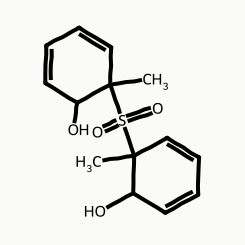 CC1(S(=O)(=O)C2(C)C=CC=CC2O)C=CC=CC1O